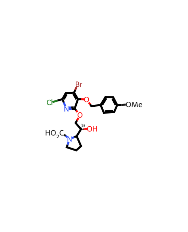 COc1ccc(COc2c(Br)cc(Cl)nc2OC[C@@H](O)C2CCCN2C(=O)O)cc1